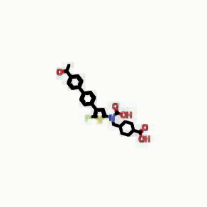 CC(=O)c1ccc(-c2ccc(-c3cc(N(CC4CCC(C(=O)O)CC4)C(=O)O)sc3F)cc2)cc1